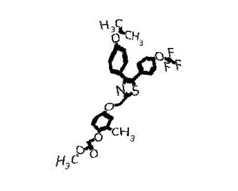 COC(=O)COc1ccc(OCc2nc(-c3ccc(OC(C)C)cc3)c(-c3ccc(OC(F)(F)F)cc3)s2)cc1C